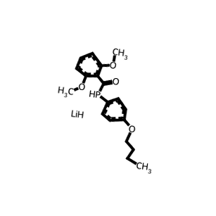 CCCCOc1ccc(PC(=O)c2c(OC)cccc2OC)cc1.[LiH]